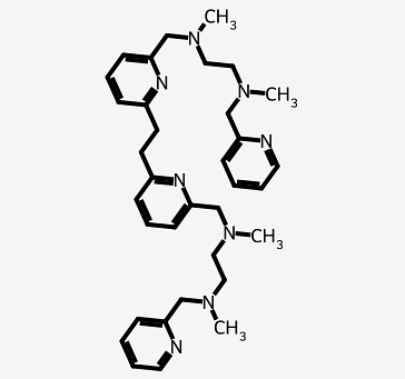 CN(CCN(C)Cc1cccc(CCc2cccc(CN(C)CCN(C)Cc3ccccn3)n2)n1)Cc1ccccn1